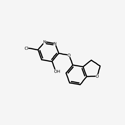 Oc1cc(Cl)nnc1Oc1cccc2c1CCO2